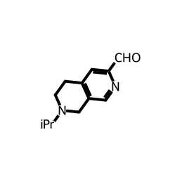 CC(C)N1CCc2cc(C=O)ncc2C1